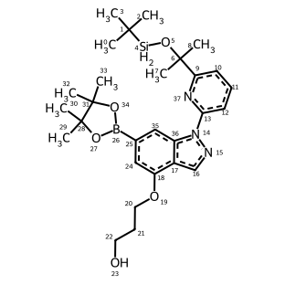 CC(C)(C)[SiH2]OC(C)(C)c1cccc(-n2ncc3c(OCCCO)cc(B4OC(C)(C)C(C)(C)O4)cc32)n1